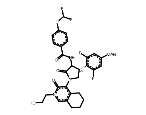 COc1cc(F)c([C@@H]2CN(c3c4c(cn(CCO)c3=O)CCCC4)C(=O)C2NC(=O)c2ccc(OC(F)F)cc2)c(F)c1